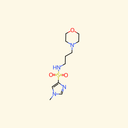 Cn1cnc(S(=O)(=O)NCCCN2CCOCC2)c1